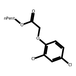 CCCCCOC(=O)COc1ccc(Cl)cc1Cl